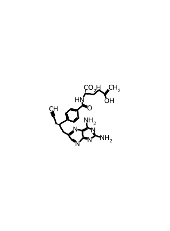 C#CC[C@H](Cc1cnc2nc(N)nc(N)c2n1)c1ccc(C(=O)N[C@@H](CCC(=C)O)C(=O)O)cc1